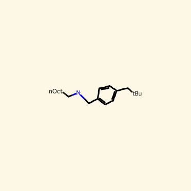 CCCCCCCCC[N]Cc1ccc(CC(C)(C)C)cc1